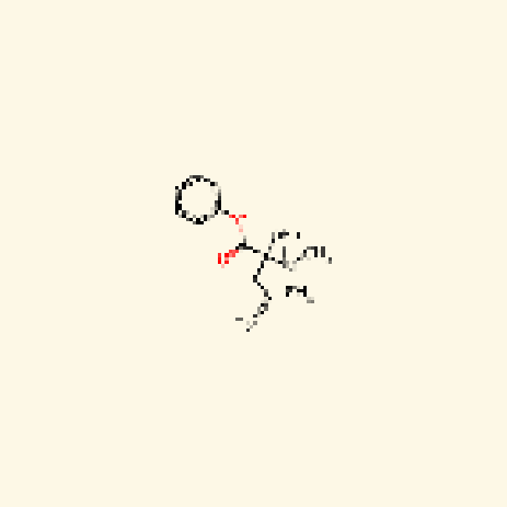 C=CCC(CCCC)(C(=O)Oc1ccccc1)[SiH](C)C